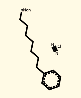 CCCCCCCCCCCCCCCCc1ccccc1.Cl.N#N